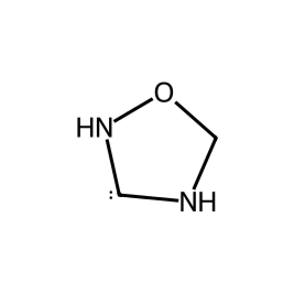 [C]1NCON1